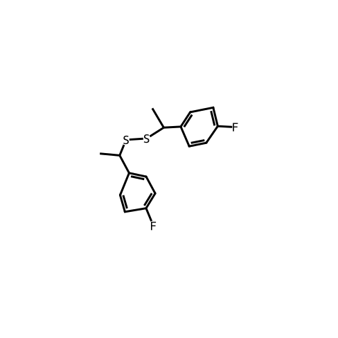 CC(SSC(C)c1ccc(F)cc1)c1ccc(F)cc1